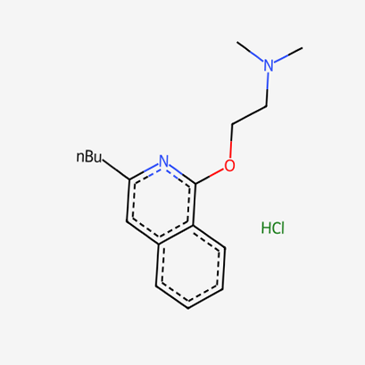 CCCCc1cc2ccccc2c(OCCN(C)C)n1.Cl